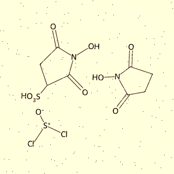 O=C1CC(S(=O)(=O)O)C(=O)N1O.O=C1CCC(=O)N1O.[O-][S+](Cl)Cl